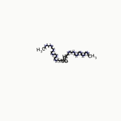 CC/C=C\C/C=C\C/C=C\C/C=C\C/C=C\C/C=C\CCCO[PH](=O)OCCC/C=C\C/C=C\C/C=C\C/C=C\C/C=C\C/C=C\CC